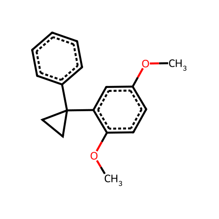 COc1ccc(OC)c(C2(c3ccccc3)CC2)c1